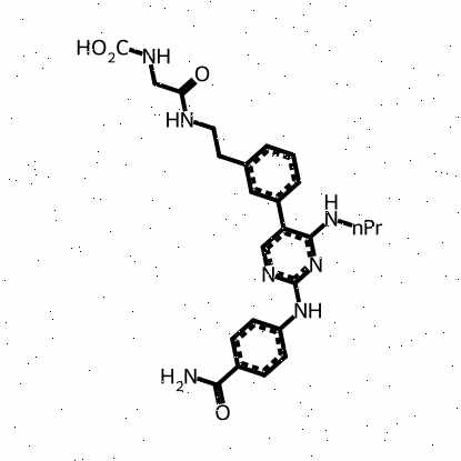 CCCNc1nc(Nc2ccc(C(N)=O)cc2)ncc1-c1cccc(CCNC(=O)CNC(=O)O)c1